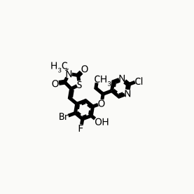 CCC(Oc1cc(/C=C2\SC(=O)N(C)C2=O)c(Br)c(F)c1O)c1cnc(Cl)nc1